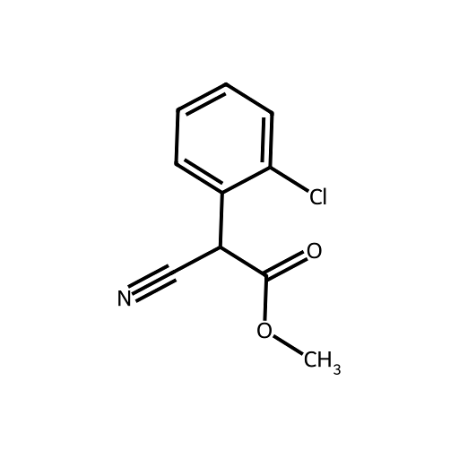 COC(=O)C(C#N)c1ccccc1Cl